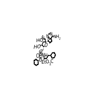 CCOC(=O)[C@H](CCc1ccccc1)NP(=O)(OC[C@H]1O[C@@](C=NC)(c2ccc3c(N)ncnn23)[C@H](O)[C@@H]1O)Oc1ccccc1